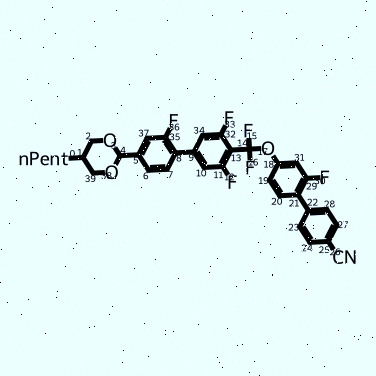 CCCCCC1COC(c2ccc(-c3cc(F)c(C(F)(F)Oc4ccc(-c5ccc(C#N)cc5)c(F)c4)c(F)c3)c(F)c2)OC1